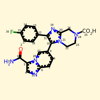 NC(=O)c1cnc2ccc(-c3c(-c4ccc(F)cc4)nc4n3CCN(C(=O)O)C4)cn12